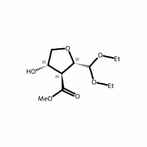 CCOC(OCC)[C@H]1OC[C@@H](O)[C@@H]1C(=O)OC